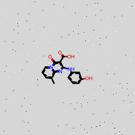 Cc1cccn2c(=O)c(C(=O)O)c(Nc3cccc(O)c3)nc12